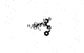 C[Si](C)(C)CCOCn1nc(-c2cnn(Cc3ccccc3)c2)c2cc(Br)cnc21